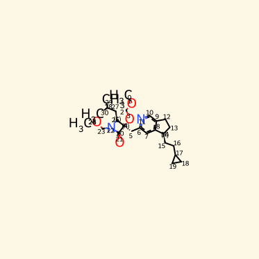 COCO[C@@]1(Cc2cc3c(cn2)CC[C@H]3CCC2CC2)C(=O)N(COC)[C@H]1CC(C)C